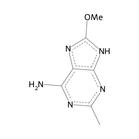 COc1nc2c(N)nc(C)nc2[nH]1